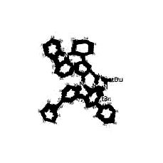 CC(C)(C)c1nc(C2C=C(C3=C(n4c5ccccc5c5ccccc54)CCC=C3)C=CC2n2c3ccc(-c4ccccc4)cc3c3cc(-c4ccccc4)ccc32)nc(C(C)(C)C)n1